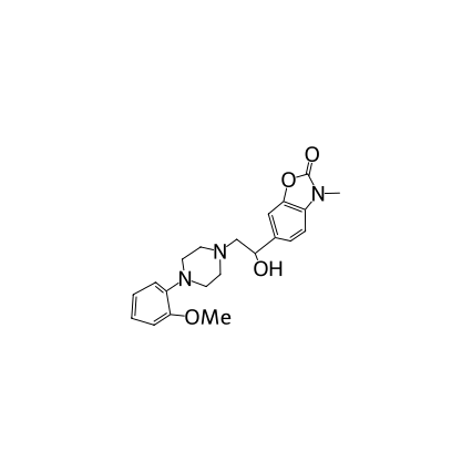 COc1ccccc1N1CCN(CC(O)c2ccc3c(c2)oc(=O)n3C)CC1